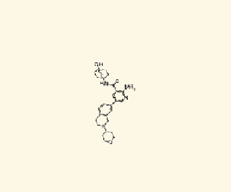 Nc1ncc(-c2ccc3c(c2)CN(C2CCOCC2)CC3)cc1C(=O)NC12CCC(O)(CC1)CC2